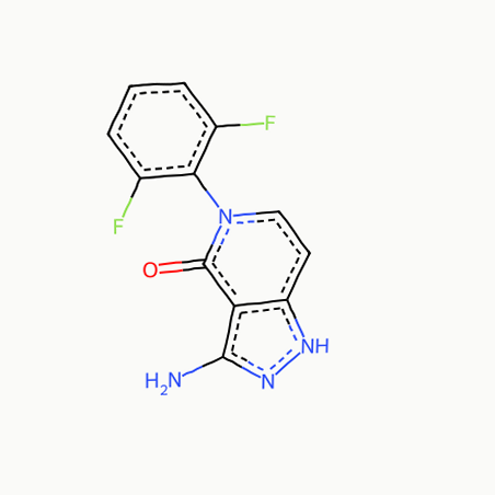 Nc1n[nH]c2ccn(-c3c(F)cccc3F)c(=O)c12